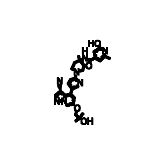 Cc1cc(C(=O)NC2(C)CCN(c3ccc(-c4cc(OCC(C)(C)O)cn5ncc(C#N)c45)cn3)CC2)cc(O)n1